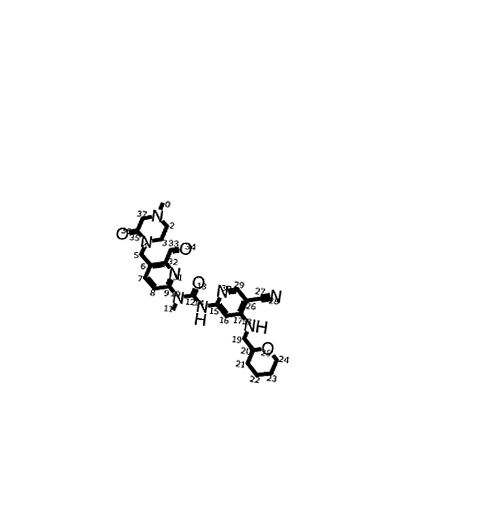 CN1CCN(Cc2ccc(N(C)C(=O)Nc3cc(NCC4CCCCO4)c(C#N)cn3)nc2C=O)C(=O)C1